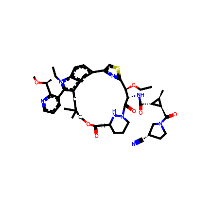 CCO[C@@H]1c2nc(cs2)-c2ccc3c(c2)c(c(-c2cccnc2[C@H](C)OC)n3CC)CC(C)(C)COC(=O)[C@@H]2CCCN(N2)C(=O)[C@H]1NC(=O)[C@@H]1[C@@H](C)[C@H]1C(=O)N1CC[C@H](C#N)C1